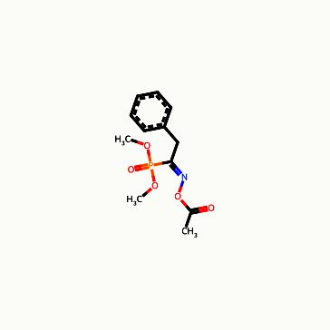 COP(=O)(OC)C(Cc1ccccc1)=NOC(C)=O